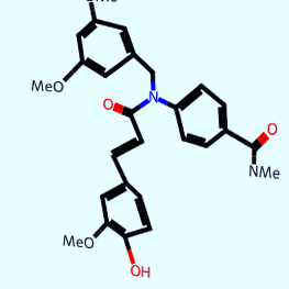 CNC(=O)c1ccc(N(Cc2cc(OC)cc(OC)c2)C(=O)/C=C/c2ccc(O)c(OC)c2)cc1